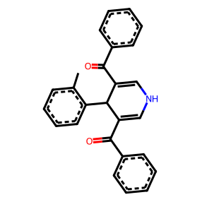 Cc1ccccc1C1C(C(=O)c2ccccc2)=CNC=C1C(=O)c1ccccc1